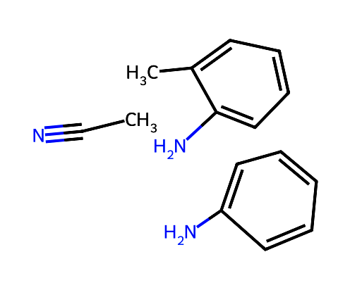 CC#N.Cc1ccccc1N.Nc1ccccc1